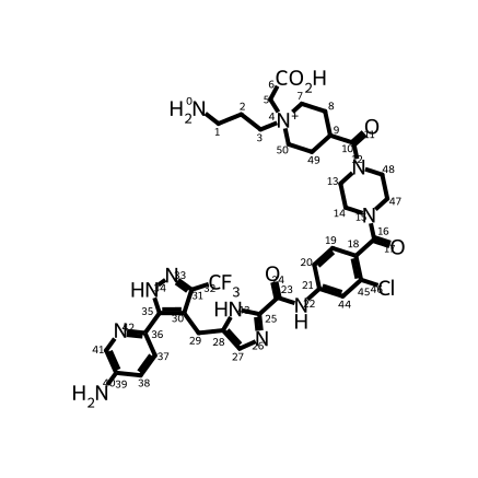 NCCC[N+]1(CC(=O)O)CCC(C(=O)N2CCN(C(=O)c3ccc(NC(=O)c4ncc(Cc5c(C(F)(F)F)n[nH]c5-c5ccc(N)cn5)[nH]4)cc3Cl)CC2)CC1